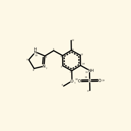 COc1cc(CC2=NCCN2)c(C)cc1NS(C)(=O)=O